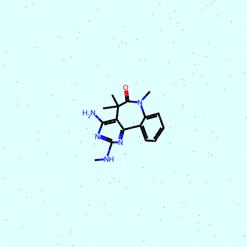 CNc1nc(N)c2c(n1)-c1ccccc1N(C)C(=O)C2(C)C